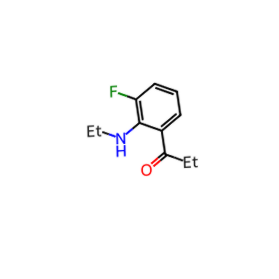 CCNc1c(F)cccc1C(=O)CC